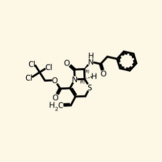 C=CC1=C(C(=O)OCC(Cl)(Cl)Cl)N2C(=O)[C@@H](NC(=O)Cc3ccccc3)[C@H]2SC1